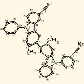 Cc1cc2c(cc1-c1cc3c4cc(C#N)ccc4n(-c4ccccc4)c3cc1C)c1ccccc1n2-c1cccc(C#N)c1